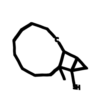 CC12CCCCCCCCCC1C1CC12S